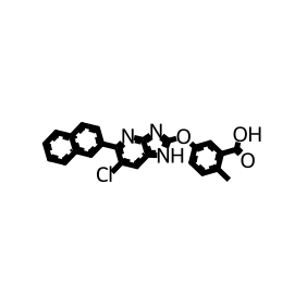 Cc1ccc(Oc2nc3nc(-c4ccc5ccccc5c4)c(Cl)cc3[nH]2)cc1C(=O)O